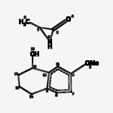 CC1NC1=O.COc1ccc2c(c1)C(O)CCC2